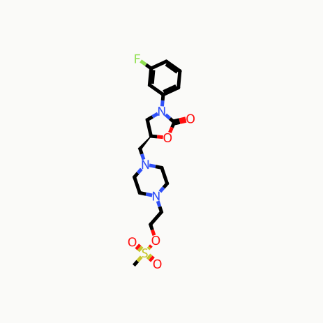 CS(=O)(=O)OCCN1CCN(C[C@H]2CN(c3cccc(F)c3)C(=O)O2)CC1